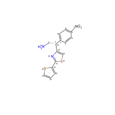 NC[C@H](c1ccc([N+](=O)[O-])cc1)c1csc(-c2cccs2)n1